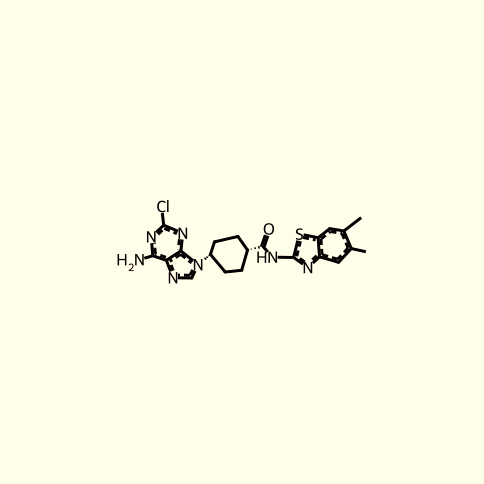 Cc1cc2nc(NC(=O)[C@H]3CC[C@@H](n4cnc5c(N)nc(Cl)nc54)CC3)sc2cc1C